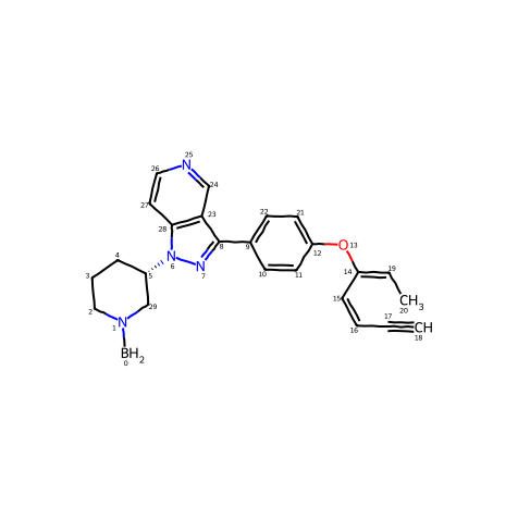 BN1CCC[C@H](n2nc(-c3ccc(OC(/C=C\C#C)=C/C)cc3)c3cnccc32)C1